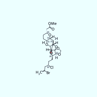 C=C(Br)C[C@H](Cl)CC[C@]12O[C@H]3[C@H]4O[C@@H](CC(=O)OC)CC[C@@H]4OC4[C@H]3OC3(OCO[C@H]31)[C@@H]4O2